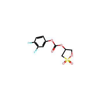 O=C(Oc1ccc(F)c(F)c1)OC1COS(=O)(=O)C1